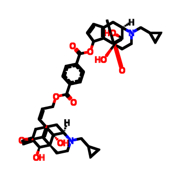 C#CC1=C(/C=C\COC(=O)c2ccc(C(=O)OC3C=CC4=C3[C@]35CCN(CC6CC6)[C@H](C4)[C@]3(O)CCC(=O)[C@@H]5O)cc2)C[C@H]2N(CC3CC3)CC[C@@]13[C@@H](O)C(=O)CC[C@@]23O